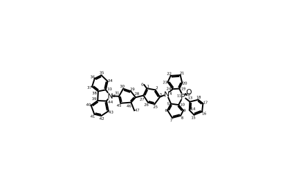 Cc1cc(N2c3ccccc3P(=O)(c3ccccc3)c3ccccc32)ccc1-c1ccc(-n2c3ccccc3c3ccccc32)cc1C